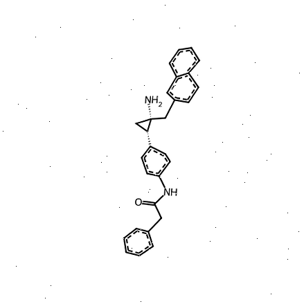 N[C@@]1(Cc2ccc3ccccc3c2)C[C@H]1c1ccc(NC(=O)Cc2ccccc2)cc1